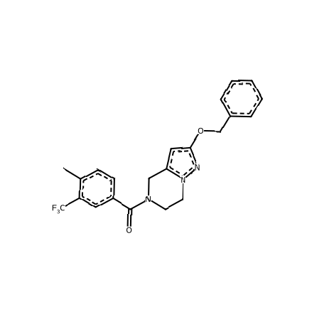 Cc1ccc(C(=O)N2CCn3nc(OCc4ccccc4)cc3C2)cc1C(F)(F)F